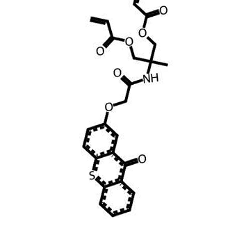 C=CC(=O)OCC(C)(COC(=O)C=C)NC(=O)COc1ccc2sc3ccccc3c(=O)c2c1